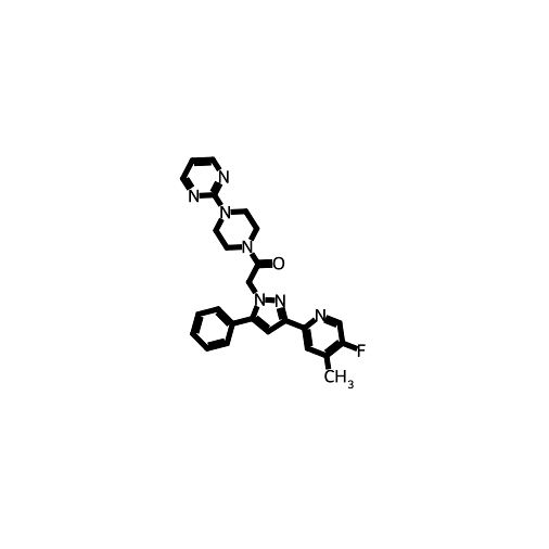 Cc1cc(-c2cc(-c3ccccc3)n(CC(=O)N3CCN(c4ncccn4)CC3)n2)ncc1F